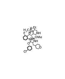 CC[C@H]1CNCC(CCc2c(F)cccc2NC(=O)[C@@H](NC(=O)OC)[C@@H](c2ccc(Cl)cc2)C2CCOCC2)N1S(C)(=O)=O